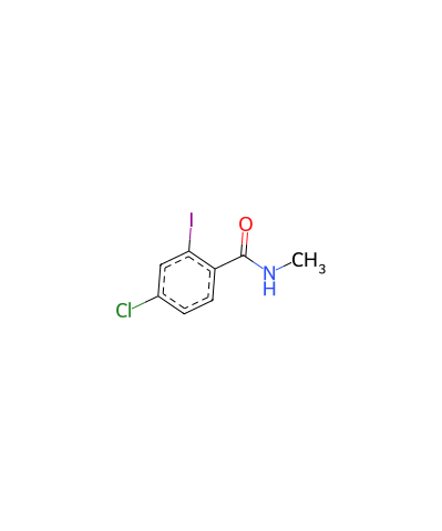 CNC(=O)c1ccc(Cl)cc1I